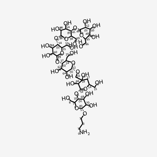 NCCCO[C@@H]1OC(CO)[C@@H](O[C@H]2OC(CO)CC(O)(CO[C@H]3OC(CO)[C@@H](O[C@@H]4OC(CO)[C@@H](O[C@H]5OC(CO)[C@H](O[C@H]6OC(CO)[C@@H](O)C(O)[C@@H]6O)C(O)C5O)C(O)C4O)C(O)C3O)C2O)C(O)C1O